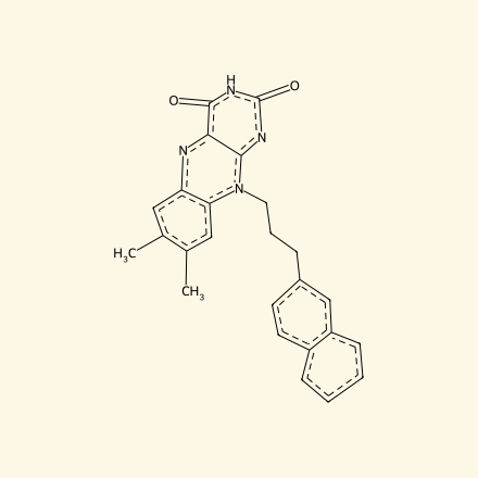 Cc1cc2nc3c(=O)[nH]c(=O)nc-3n(CCCc3ccc4ccccc4c3)c2cc1C